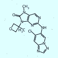 Cn1c(=O)n(C2(C)COC2)c2nc(Nc3cn4ncnc4cc3Cl)ncc21